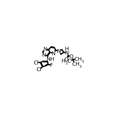 CC(C)(C)OC(=O)NC1CN(c2ccc3ncnc(Nc4cc(Cl)c(Cl)cc4F)c3n2)C1